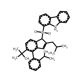 CC(C)CC1=Cc2c(ccc(C(C)(C)C)c2-c2ccccc2C(C)C)[CH]1[Zr]([Cl])([Cl])[c]1cccc2c1[SiH2]c1ccccc1-2